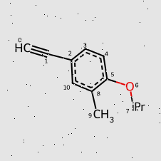 C#Cc1ccc(OC(C)C)c(C)c1